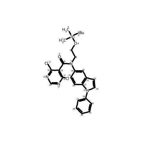 CC(C)(C)[Si](C)(C)OCCN(C(=O)c1c(Cl)ncnc1Cl)c1ccc2c(ccn2-c2ccccc2)c1